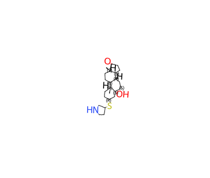 C[C@H]1C[C@H]2[C@@H]3CCC(=O)[C@@]3(C)CC[C@@H]2[C@@]2(C)CC[C@@H](SC3CCNC3)C[C@]12O